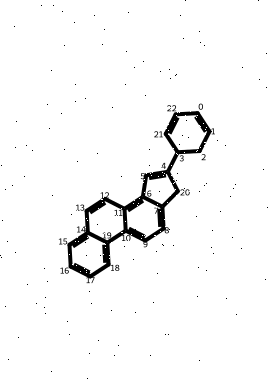 C1=CCC(C2=Cc3c(ccc4c3ccc3ccccc34)C2)C=C1